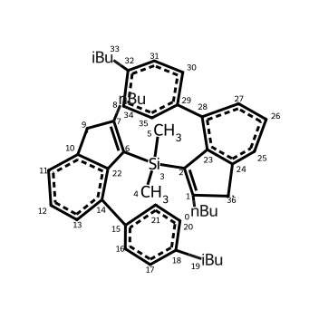 CCCCC1=C([Si](C)(C)C2=C(CCCC)[CH]c3cccc(-c4ccc(C(C)CC)cc4)c32)c2c(cccc2-c2ccc(C(C)CC)cc2)[CH]1